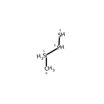 C[SiH2]PS